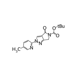 Cc1ccc(-n2cc3c(n2)CN(C(=O)OC(C)(C)C)C3=O)nc1